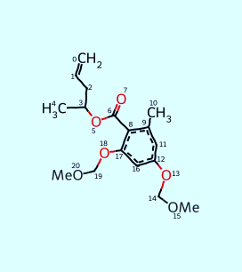 C=CCC(C)OC(=O)c1c(C)cc(OCOC)cc1OCOC